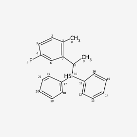 Cc1ccc(F)cc1C(C)[SiH](c1ccccc1)c1ccccc1